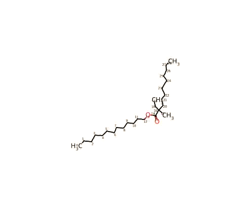 CCCCCCCCCCCCCOC(=O)C(C)(CC)CCCCCCCCC